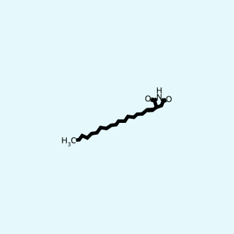 CCCCCCCCCCCCCCCCC=CC1CC(=O)NC1=O